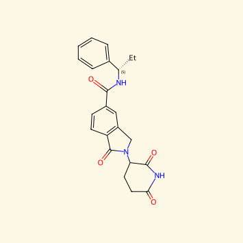 CC[C@H](NC(=O)c1ccc2c(c1)CN(C1CCC(=O)NC1=O)C2=O)c1ccccc1